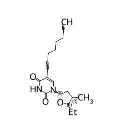 C#CCCCCC#Cc1cn([C@H]2C[C@@H](C)[C@@H](CC)O2)c(=O)[nH]c1=O